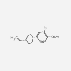 C=C[C@H]1CC[C@H](c2ccc(OC)c(F)c2)CC1